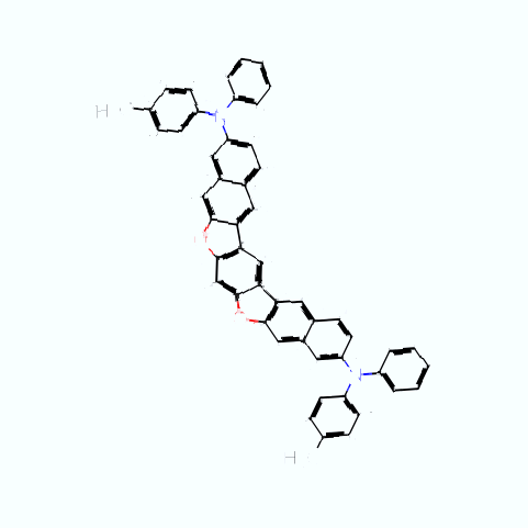 Cc1ccc(N(c2ccccc2)c2ccc3cc4c(cc3c2)oc2cc3oc5cc6cc(N(c7ccccc7)c7ccc(C)cc7)ccc6cc5c3cc24)cc1